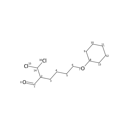 O=[C]C(CCCCOC1CC[CH]CC1)C(Cl)Cl